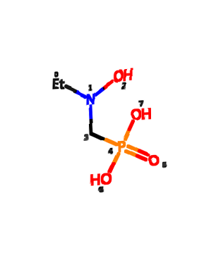 CCN(O)CP(=O)(O)O